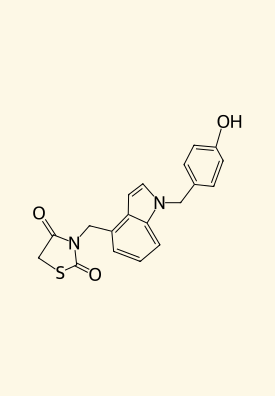 O=C1CSC(=O)N1Cc1cccc2c1ccn2Cc1ccc(O)cc1